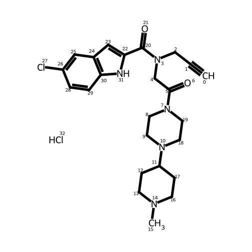 C#CCN(CC(=O)N1CCN(C2CCN(C)CC2)CC1)C(=O)c1cc2cc(Cl)ccc2[nH]1.Cl